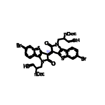 B=CC(CCCCCCCCCC)CN1C(=O)/C(=C2/C(=O)N(CC(C=B)CCCCCCCCCC)c3c2sc2cc(Br)ccc32)c2sc3cc(Br)ccc3c21